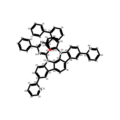 c1ccc(-c2nc(-c3ccccc3-c3ccccc3)nc(-n3c4ccc(-c5ccccn5)cc4c4ccc5c6cc(-c7ccccn7)ccc6n(-c6ccccc6)c5c43)n2)cc1